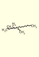 C=CCN(C/C=C(\C)CCC=C(C)C)CCCCCCCCCC